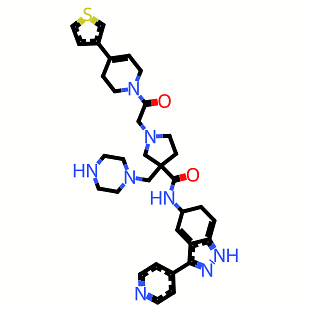 O=C(CN1CCC(CN2CCNCC2)(C(=O)NC2C=c3c(-c4ccncc4)n[nH]c3=CC2)C1)N1CC=C(c2ccsc2)CC1